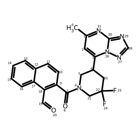 Cc1cc(C2CN(C(=O)c3ccc4ccccc4c3C=O)CC(F)(F)C2)n2ncnc2n1